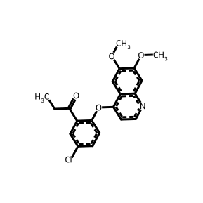 CCC(=O)c1cc(Cl)ccc1Oc1ccnc2cc(OC)c(OC)cc12